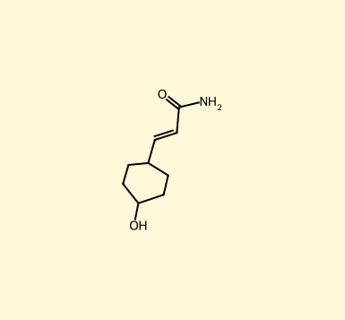 NC(=O)C=CC1CCC(O)CC1